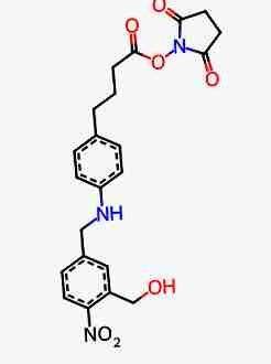 O=C(CCCc1ccc(NCc2ccc([N+](=O)[O-])c(CO)c2)cc1)ON1C(=O)CCC1=O